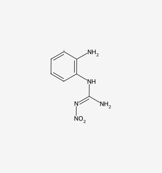 NC(=N[N+](=O)[O-])Nc1ccc[c]c1N